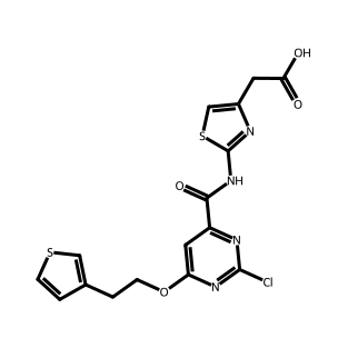 O=C(O)Cc1csc(NC(=O)c2cc(OCCc3ccsc3)nc(Cl)n2)n1